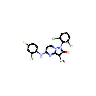 Cc1c(=O)n(-c2c(Cl)cccc2Cl)n2ccc(Nc3ccc(F)cc3Cl)nc12